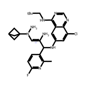 Cc1nc(F)ccc1C(Nc1cc(Cl)c2ncnc(NCC(C)(C)C)c2c1)/C(N)=C/N(N)C12CC(C1)C2